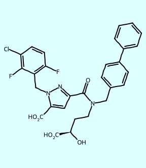 O=C(O)c1cc(C(=O)N(CC[C@@H](O)C(=O)O)Cc2ccc(-c3ccccc3)cc2)nn1Cc1c(F)ccc(Cl)c1F